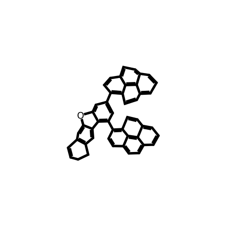 C1=Cc2cc3oc4cc(-c5ccc6ccc7cccc8ccc5c6c78)cc(-c5ccc6ccc7cccc8ccc5c6c78)c4c3cc2CC1